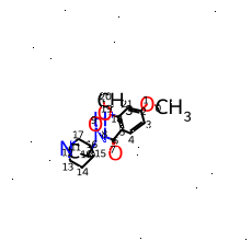 COc1ccc(C(=O)[NH+]([O-])C2CN3CCC2CC3)c(OC)c1